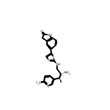 C[C@@H](c1ccc(C(F)(F)F)nc1)[C@@H](N)CNc1ncc(-c2ccc3c(c2)CC(=O)N3)s1